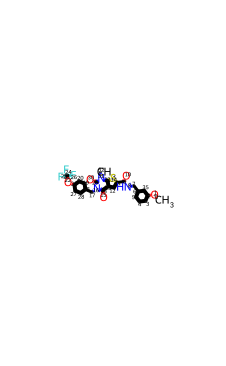 COc1cccc(CNC(=O)c2cc3c(=O)n(Cc4ccc(OC(F)(F)F)cc4)c(=O)n(C)c3s2)c1